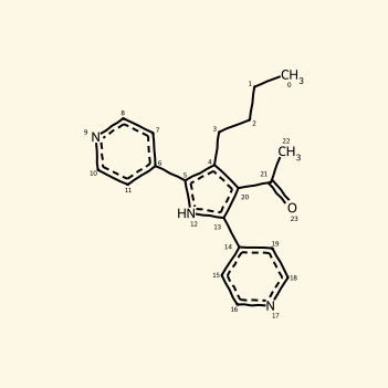 CCCCc1c(-c2ccncc2)[nH]c(-c2ccncc2)c1C(C)=O